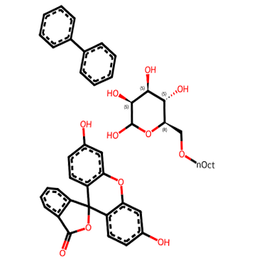 CCCCCCCCOC[C@H]1OC(O)[C@@H](O)[C@@H](O)[C@@H]1O.O=C1OC2(c3ccc(O)cc3Oc3cc(O)ccc32)c2ccccc21.c1ccc(-c2ccccc2)cc1